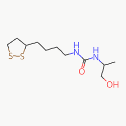 CC(CO)NC(=O)NCCCCC1CCSS1